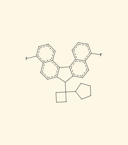 Fc1cccc2c3c(ccc12)C(C1(C2CCCC2)CCC1)c1ccc2c(F)cccc2c1-3